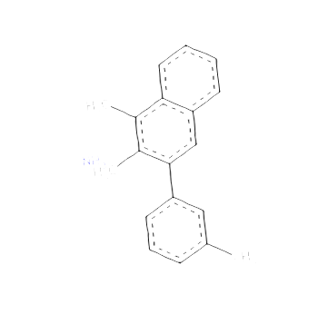 Cc1cccc(-c2cc3ccccc3c(C)c2C)c1.N